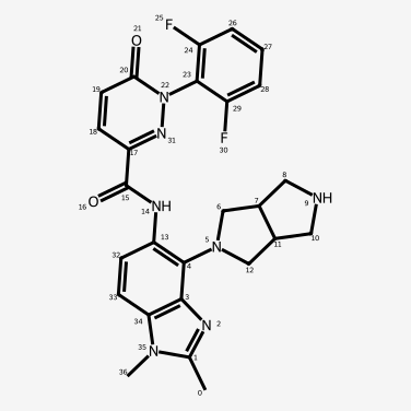 Cc1nc2c(N3CC4CNCC4C3)c(NC(=O)c3ccc(=O)n(-c4c(F)cccc4F)n3)ccc2n1C